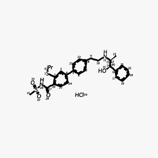 CC(C)Sc1cc(-c2ccc(CCN[C@@H](C)[C@H](O)c3ccccc3)cc2)ccc1C(=O)NS(C)(=O)=O.Cl